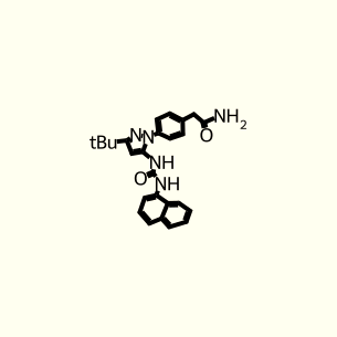 CC(C)(C)c1cc(NC(=O)Nc2cccc3ccccc23)n(-c2ccc(CC(N)=O)cc2)n1